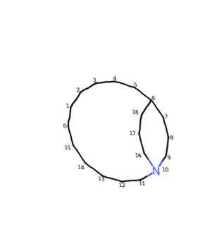 C1CCCCCC2CCCN(CCCCC1)CCC2